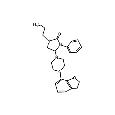 CCCN1CC(N2CCN(c3cccc4c3OCC4)CC2)N(c2ccccc2)C1=O